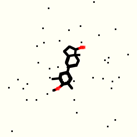 COc1c(C)cc(C2=CCC3(C)C(=C2)CCC3O)cc1C